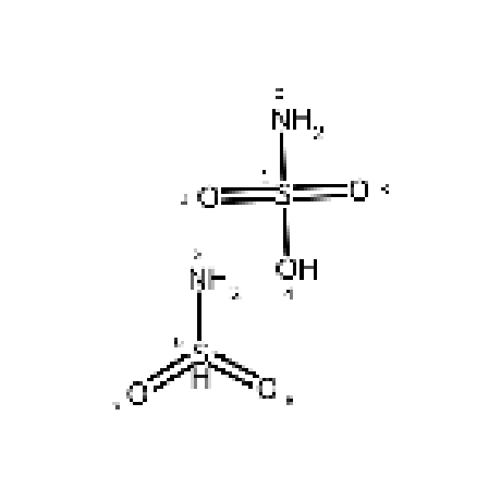 NS(=O)(=O)O.N[SH](=O)=O